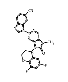 Cn1c(=O)n([C@@H]2CCOc3c(F)cc(F)cc32)c2nc(-n3cnc4ccc(C#N)cc43)ncc21